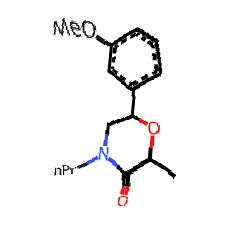 CCCN1CC(c2cccc(OC)c2)OC(C)C1=O